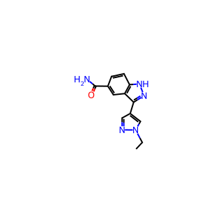 CCn1cc(-c2n[nH]c3ccc(C(N)=O)cc23)cn1